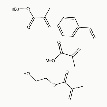 C=C(C)C(=O)OC.C=C(C)C(=O)OCCCC.C=C(C)C(=O)OCCO.C=Cc1ccccc1